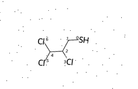 SCC(Cl)C(Cl)Cl